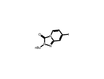 CCCCn1nc2cc(I)ccn2c1=O